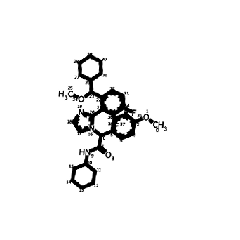 COc1ccc(C(C(=O)NC2CCCCC2)n2ccnc2-c2c(C(OC)C3CCCCC3)ccc(F)c2F)cc1